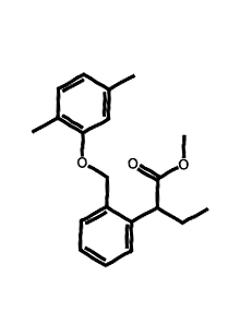 CCC(C(=O)OC)c1ccccc1COc1cc(C)ccc1C